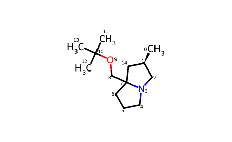 C[C@H]1CN2CCCC2(COC(C)(C)C)C1